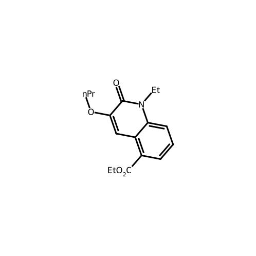 CCCOc1cc2c(C(=O)OCC)cccc2n(CC)c1=O